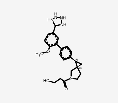 COc1ccc(C2NNNN2)cc1-c1ccc([C@H]2C[C@]23CCN(C(=O)CCO)C3)cc1